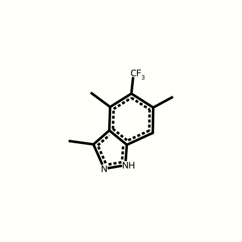 Cc1cc2[nH]nc(C)c2c(C)c1C(F)(F)F